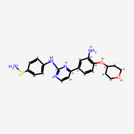 NSc1ccc(Nc2nccc(-c3ccc(OC4CCOCC4)c(N)c3)n2)cc1